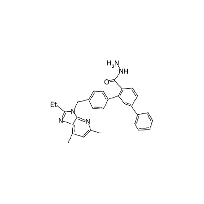 CCc1nc2c(C)cc(C)nc2n1Cc1ccc(-c2cc(-c3ccccc3)ccc2C(=O)NN)cc1